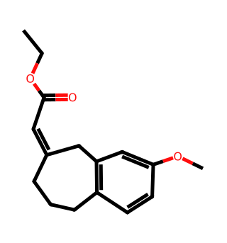 CCOC(=O)/C=C1/CCCc2ccc(OC)cc2C1